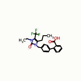 CCCc1c(C(F)(F)F)n(CC)c(=O)n1Cc1ccc(-c2ccccc2C(=O)O)cc1